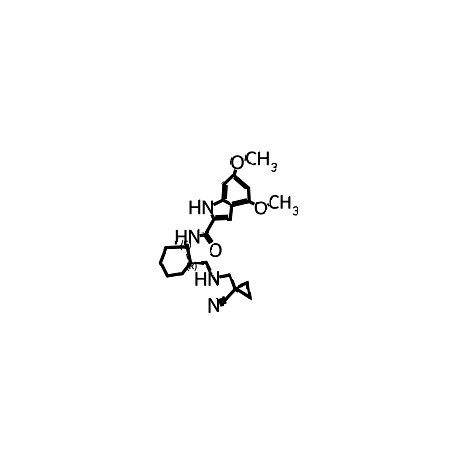 COc1cc(OC)c2cc(C(=O)N[C@H]3CCCC[C@@H]3CNCC3(C#N)CC3)[nH]c2c1